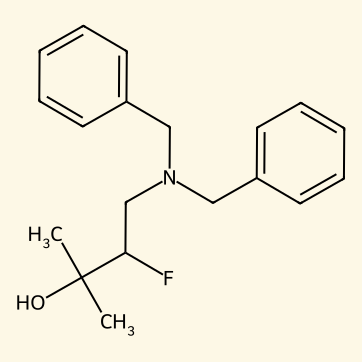 CC(C)(O)C(F)CN(Cc1ccccc1)Cc1ccccc1